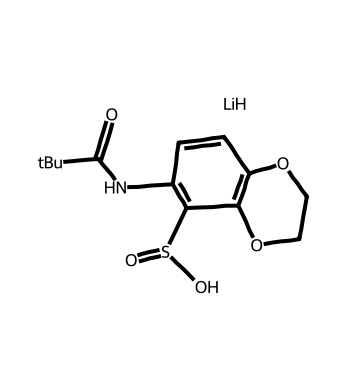 CC(C)(C)C(=O)Nc1ccc2c(c1S(=O)O)OCCO2.[LiH]